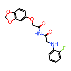 O=C(CNc1ccccc1F)NC(=O)COc1ccc2c(c1)OCO2